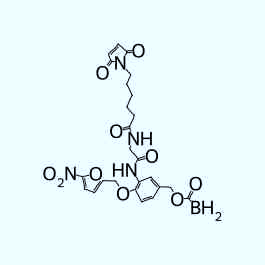 BC(=O)OCc1ccc(OCc2ccc([N+](=O)[O-])o2)c(NC(=O)CNC(=O)CCCCCN2C(=O)C=CC2=O)c1